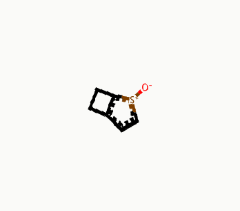 [O-][s+]1ccc2c1CC2